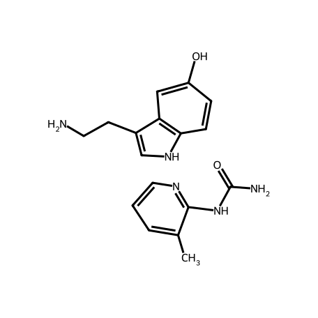 Cc1cccnc1NC(N)=O.NCCc1c[nH]c2ccc(O)cc12